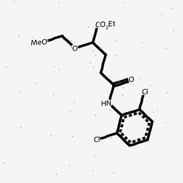 CCOC(=O)C(CCC(=O)Nc1c(Cl)cccc1Cl)OCOC